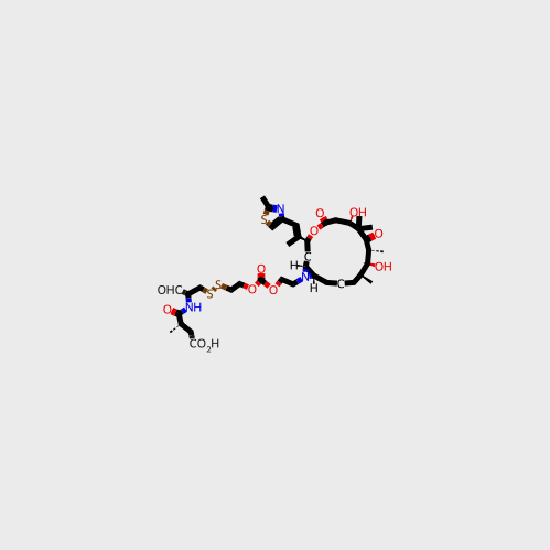 C/C(=C\c1csc(C)n1)[C@@H]1C[C@H]2[C@@H](CCC[C@H](C)[C@H](O)[C@@H](C)C(=O)C(C)(C)[C@@H](O)CC(=O)O1)N2CCOC(=O)OCCSSCC(C=O)NC(=O)[C@@H](C)CC(=O)O